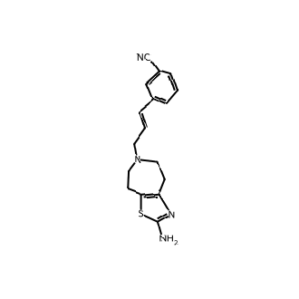 N#Cc1cccc(C=CCN2CCc3nc(N)sc3CC2)c1